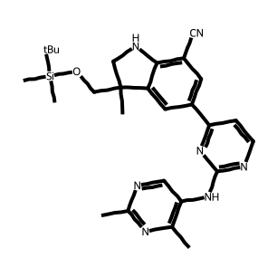 Cc1ncc(Nc2nccc(-c3cc(C#N)c4c(c3)C(C)(CO[Si](C)(C)C(C)(C)C)CN4)n2)c(C)n1